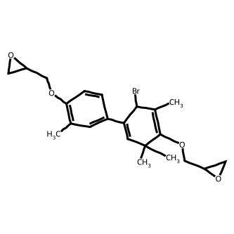 CC1=C(OCC2CO2)C(C)(C)C=C(c2ccc(OCC3CO3)c(C)c2)C1Br